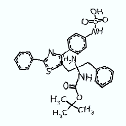 CC(C)(C)OC(=O)NC(N)(Cc1ccccc1)Cc1sc(-c2ccccc2)nc1-c1ccc(NS(=O)(=O)O)cc1